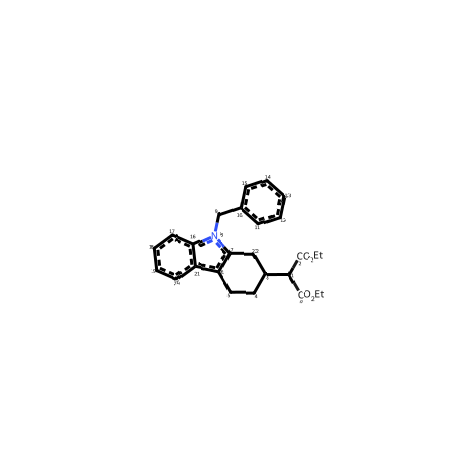 CCOC(=O)C(C(=O)OCC)C1CCc2c(n(Cc3ccccc3)c3ccccc23)C1